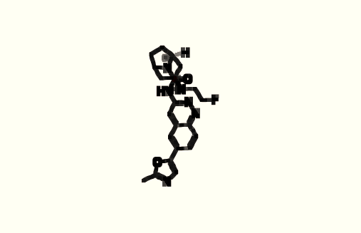 Cc1ncc(-c2ccc3nnc(NC(=O)N4C5CC[C@H]4C[C@@H](NCCF)C5)cc3c2)o1